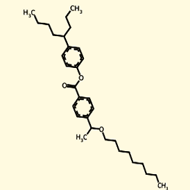 CCCCCCCCCOC(C)c1ccc(C(=O)Oc2ccc(C(CCC)CCCC)cc2)cc1